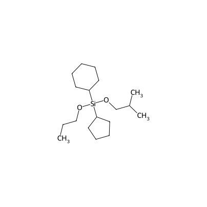 CCCO[Si](OCC(C)C)(C1CCCCC1)C1CCCC1